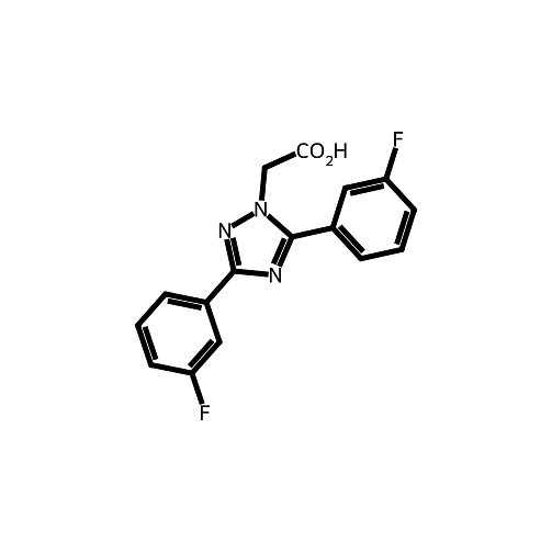 O=C(O)Cn1nc(-c2cccc(F)c2)nc1-c1cccc(F)c1